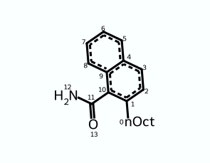 CCCCCCCCc1ccc2ccccc2c1C(N)=O